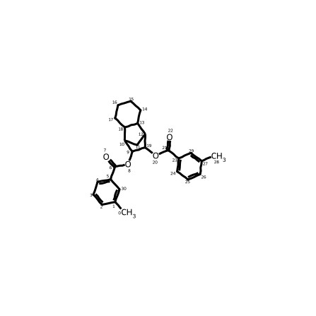 Cc1cccc(C(=O)OC2C3CC(C4CCCCC43)C2OC(=O)c2cccc(C)c2)c1